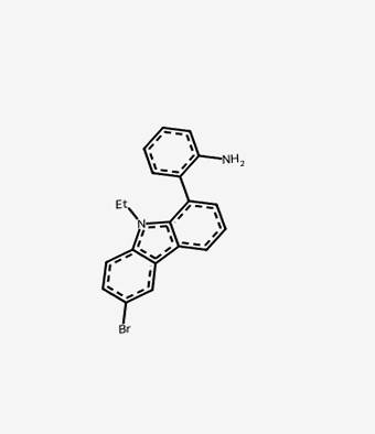 CCn1c2ccc(Br)cc2c2cccc(-c3ccccc3N)c21